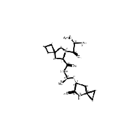 CC(=O)N[C@H](C(=O)N1CC2(CCC2)CC1C(=O)N[C@H](C#N)C[C@@H]1CC2(CC2)NC1=O)C(C)(C)C